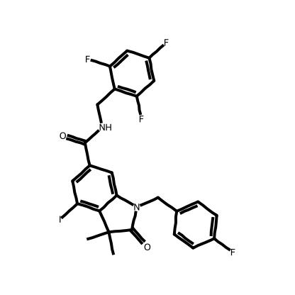 CC1(C)C(=O)N(Cc2ccc(F)cc2)c2cc(C(=O)NCc3c(F)cc(F)cc3F)cc(I)c21